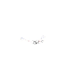 C[C@]12CCC(OCCOCCN3CCCC3)CC1=CC[C@@H]1[C@H]2CC[C@@]2(C)[C@H]1CCC2(OCCN1CCCC1)c1ccsc1